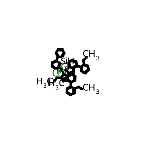 CCCC1=Cc2c(-c3ccccc3CCC)cccc2[CH]1[Hf]([Cl])([Cl])([c]1cccc2c1[SiH2]c1ccccc1-2)[CH]1C(CCC)=Cc2c(-c3ccccc3CCC)cccc21